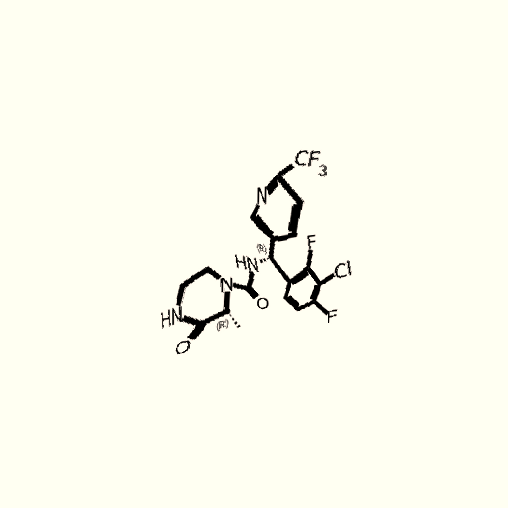 C[C@@H]1C(=O)NCCN1C(=O)N[C@H](c1ccc(C(F)(F)F)nc1)c1ccc(F)c(Cl)c1F